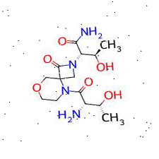 C[C@@H](O)[C@H](N)C(=O)N1CCOCC12CN([C@H](C(N)=O)[C@@H](C)O)C2=O